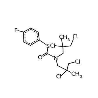 CC(Cl)(CCl)CN(CC(C)(Cl)CCl)C(=O)Sc1ccc(F)cc1